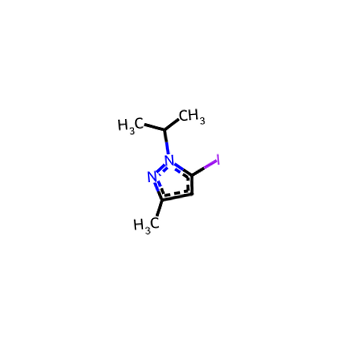 Cc1cc(I)n(C(C)C)n1